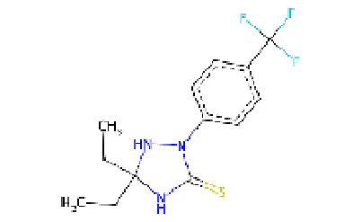 CCC1(CC)NC(=S)N(c2ccc(C(F)(F)F)cc2)N1